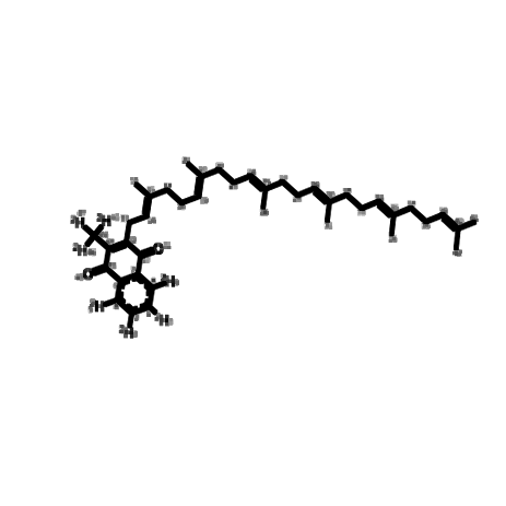 [2H]c1c([2H])c([2H])c2c(c1[2H])C(=O)C(C/C=C(\C)CC/C=C(\C)CC/C=C(\C)CC/C=C(\C)CC/C=C(\C)CCC=C(C)C)=C(C([2H])([2H])[2H])C2=O